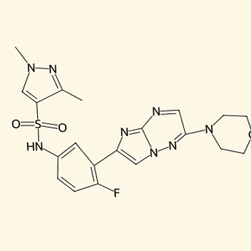 Cc1nn(C)cc1S(=O)(=O)Nc1ccc(F)c(-c2cn3nc(N4CCOCC4)cnc3n2)c1